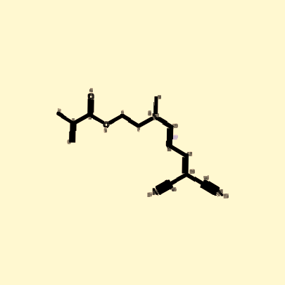 C=C(C)C(=O)OCCN(C)/C=C/C=C(C#N)C#N